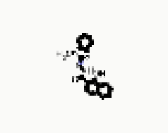 Cn1/c(=N/NC(=O)c2ccc3ccccc3c2O)sc2ccccc21